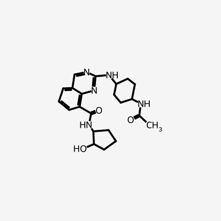 CC(=O)NC1CCC(Nc2ncc3cccc(C(=O)NC4CCCC4O)c3n2)CC1